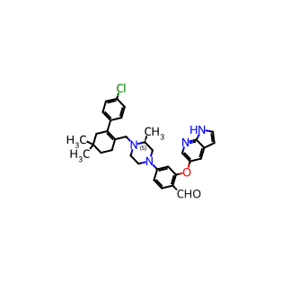 C[C@H]1CN(c2ccc(C=O)c(Oc3cnc4[nH]ccc4c3)c2)CCN1CC1=C(c2ccc(Cl)cc2)CC(C)(C)CC1